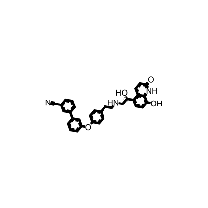 N#Cc1cccc(-c2cccc(Oc3ccc(CCNC[C@H](O)c4ccc(O)c5[nH]c(=O)ccc45)cc3)c2)c1